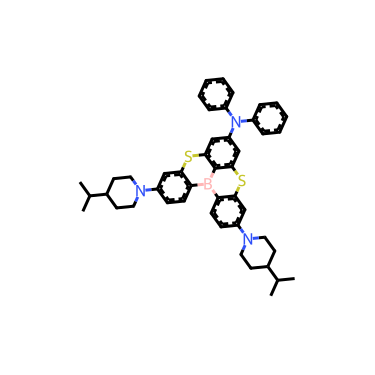 CC(C)C1CCN(c2ccc3c(c2)Sc2cc(N(c4ccccc4)c4ccccc4)cc4c2B3c2ccc(N3CCC(C(C)C)CC3)cc2S4)CC1